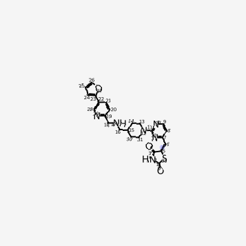 O=C1NC(=O)/C(=C\c2ccnc(N3CCC(CNCc4ccc(-c5ccco5)cn4)CC3)n2)S1